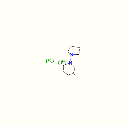 CC1CCCN(N2CCCC2)C1.Cl.Cl